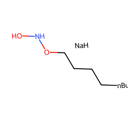 CCCCCCCCONO.[NaH]